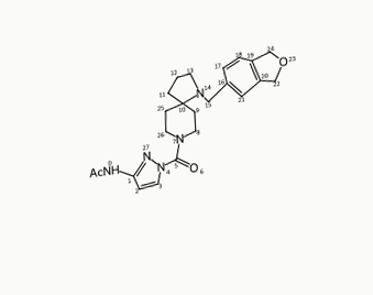 CC(=O)Nc1ccn(C(=O)N2CCC3(CCCN3Cc3ccc4c(c3)COC4)CC2)n1